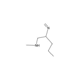 C=NC(CCC)CNC